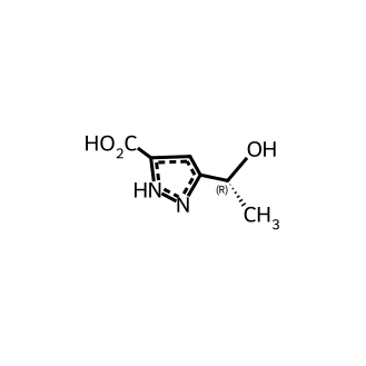 C[C@@H](O)c1cc(C(=O)O)[nH]n1